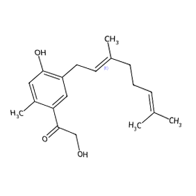 CC(C)=CCC/C(C)=C/Cc1cc(C(=O)CO)c(C)cc1O